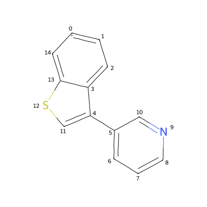 [c]1ccc2c(-c3cccnc3)csc2c1